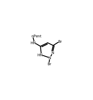 CCCCCNC1=CC(Br)=NN(Br)N1